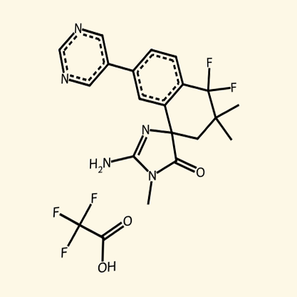 CN1C(=O)C2(CC(C)(C)C(F)(F)c3ccc(-c4cncnc4)cc32)N=C1N.O=C(O)C(F)(F)F